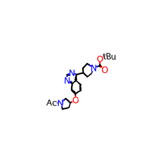 CC(=O)N1CCC(Oc2ccc3c(C4CCN(C(=O)OC(C)(C)C)CC4)ncnc3c2)C1